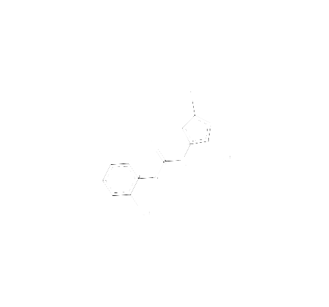 Cc1cc(OC(=O)Nc2ccccc2C)c(C)s1